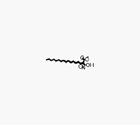 CCCCCCCCCCCCCCc1onc(O)c1C(=O)OC